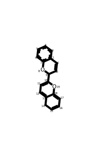 [C]1=Cc2ccccc2OC1C1=CC=C2CC=CC=C2O1